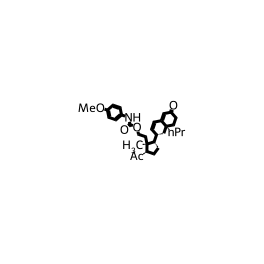 CCC[C@@]12CCC(=O)C=C1C=C[C@@H]([C@@H]1CC[C@H](C(C)=O)[C@@]1(C)CCOC(=O)Nc1ccc(OC)cc1)C2